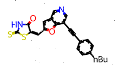 CCCCc1ccc(C#Cc2cncc3cc(C=C4SC(=S)NC4=O)oc23)cc1